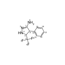 NC1=NNC(C(F)(F)F)C1c1ccccc1